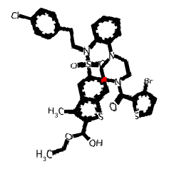 CCOC(O)c1sc2ccc(S(=O)(=O)N(CCc3ccc(Cl)cc3)c3ccccc3N3CCN(C(=O)c4sccc4Br)CC3)cc2c1C